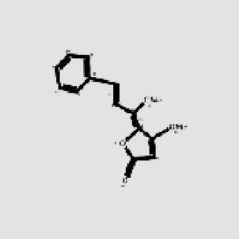 COC1=CC(=O)O/C1=C(\C=C\c1ccccc1)OC